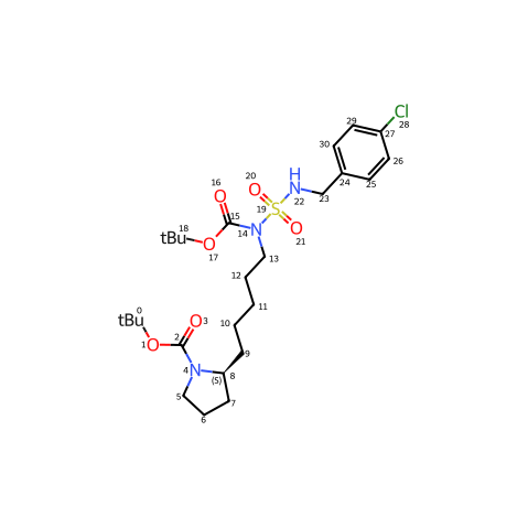 CC(C)(C)OC(=O)N1CCC[C@@H]1CCCCCN(C(=O)OC(C)(C)C)S(=O)(=O)NCc1ccc(Cl)cc1